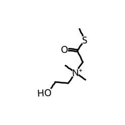 CSC(=O)C[N+](C)(C)CCO